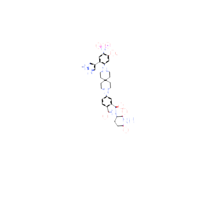 COc1cc(N2CCC3(CCN(c4ccc5c(c4)C(=O)N(C4CCC(=O)NC4=O)C5=O)CC3)CC2)c(-c2cnn(C)c2)cc1[N+](=O)[O-]